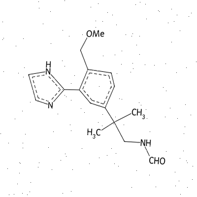 COCc1ccc(C(C)(C)CNC=O)cc1-c1ncc[nH]1